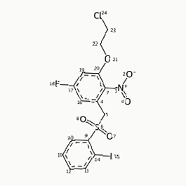 O=[N+]([O-])c1c(CS(=O)(=O)c2ccccc2I)cc(F)cc1OCCCl